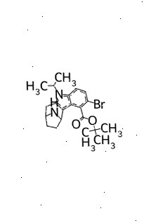 CC(C)n1c2c(c3c(C(=O)OC(C)(C)C)c(Br)ccc31)C1CCC(C2)N1